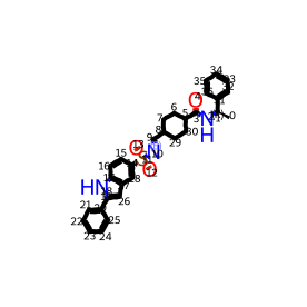 C[C@@H](NC(=O)C1CCC(/C=N/S(=O)(=O)c2ccc3[nH]c(-c4ccccc4)cc3c2)CC1)c1ccccc1